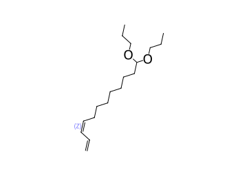 C=C/C=C\CCCCCCCC(OCCC)OCCC